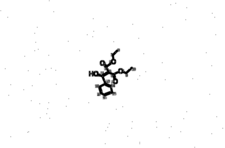 CCOC(=O)C(C(=O)OCC)=C(O)c1ccccc1